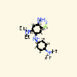 CCN(CC)c1ccc(Nc2cc(F)c(N)cc2N(CC)CC)cc1